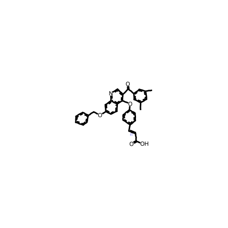 Cc1cc(C)cc(C(=O)c2cnc3cc(OCc4ccccc4)ccc3c2Oc2ccc(/C=C/C(=O)O)cc2)c1